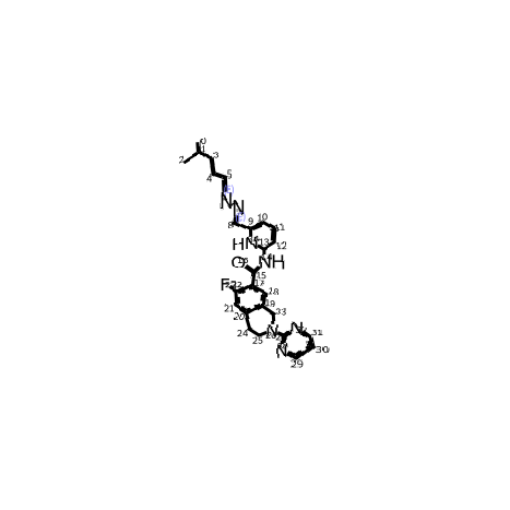 CC(C)CC/C=N/N=C/C1=CC=CC(NC(=O)c2cc3c(cc2F)CCN(c2ncccn2)C3)N1